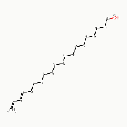 C=CC=CCCCCCCCCCCCCCCCCO